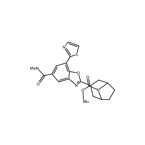 CNC(=O)c1cc(-c2nccs2)c2oc(N3CC4CCC(C3)N4C(=O)OC(C)(C)C)nc2c1